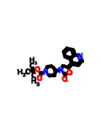 CC(C)(C)OC(=O)N1CCC(N2CC(c3ccnc4ccccc34)OC2=O)CC1